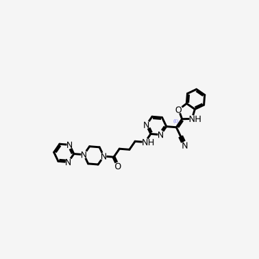 N#C/C(=C1\Nc2ccccc2O1)c1ccnc(NCCCC(=O)N2CCN(c3ncccn3)CC2)n1